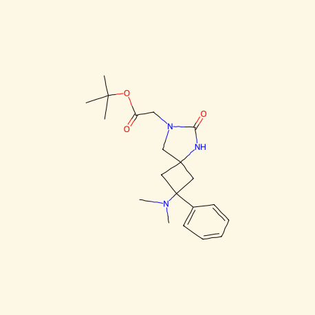 CN(C)C1(c2ccccc2)CC2(CN(CC(=O)OC(C)(C)C)C(=O)N2)C1